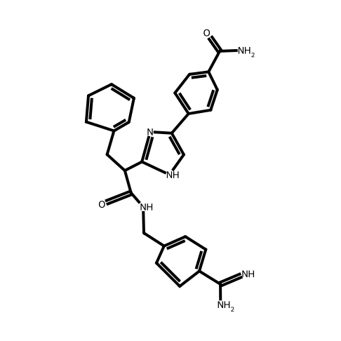 N=C(N)c1ccc(CNC(=O)C(Cc2ccccc2)c2nc(-c3ccc(C(N)=O)cc3)c[nH]2)cc1